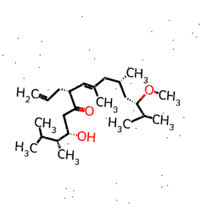 C=CC[C@H](/C=C(\C)C[C@H](C)C[C@H](OC)C(C)C)C(=O)C[C@H](O)[C@@H](C)C(C)C